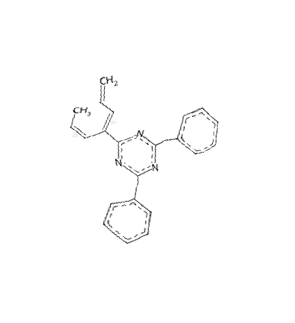 C=C/C=C(\C=C/C)c1nc(-c2ccccc2)nc(-c2ccccc2)n1